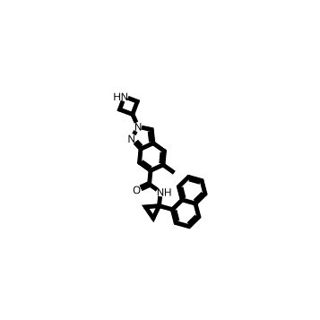 Cc1cc2cn(C3CNC3)nc2cc1C(=O)NC1(c2cccc3ccccc23)CC1